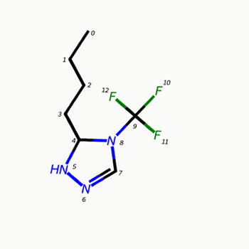 CCCCC1NN=CN1C(F)(F)F